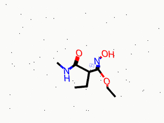 CCO/C(=N\O)C(CC)C(=O)NC